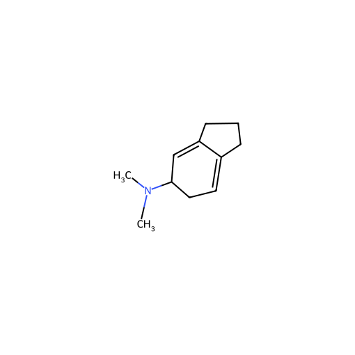 CN(C)C1C=C2CCCC2=CC1